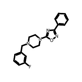 Fc1cccc(CN2CCN(c3nc(-c4ccccc4)no3)CC2)c1